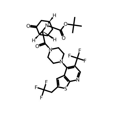 CC(C)(C)OC(=O)N1[C@H]2CC[C@H](C(=O)C2)[C@H]1C(=O)N1CCN(c2c(C(F)(F)F)cnc3sc(CC(F)(F)F)cc23)CC1